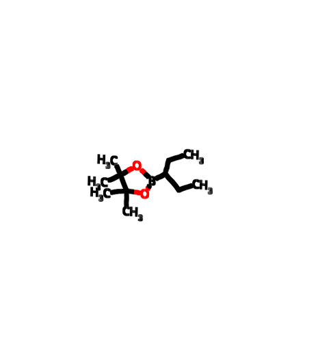 CCC(CC)B1OC(C)(C)C(C)(C)O1